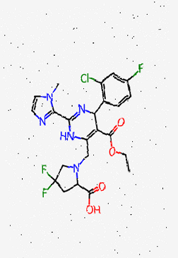 CCOC(=O)C1=C(CN2CC(F)(F)CC2C(=O)O)NC(c2nccn2C)=NC1c1ccc(F)cc1Cl